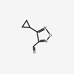 O=Cc1nonc1C1CC1